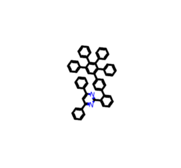 c1ccc(-c2cc(-c3ccccc3)nc(-c3ccccc3-c3ccc(-c4cc(-c5ccccc5)c(-c5ccccc5)c(-c5ccccc5)c4-c4ccccc4)cc3)n2)cc1